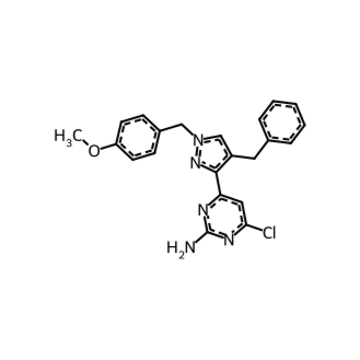 COc1ccc(Cn2cc(Cc3ccccc3)c(-c3cc(Cl)nc(N)n3)n2)cc1